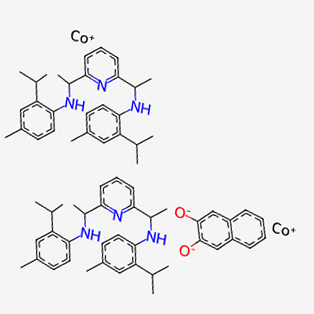 Cc1ccc(NC(C)c2cccc(C(C)Nc3ccc(C)cc3C(C)C)n2)c(C(C)C)c1.Cc1ccc(NC(C)c2cccc(C(C)Nc3ccc(C)cc3C(C)C)n2)c(C(C)C)c1.[Co+].[Co+].[O-]c1cc2ccccc2cc1[O-]